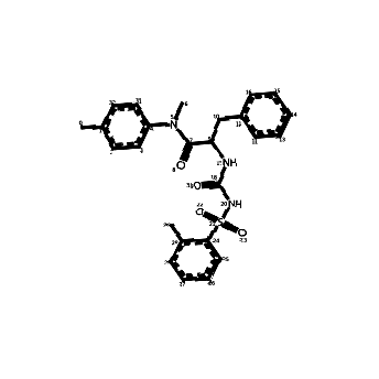 Cc1ccc(N(C)C(=O)C(Cc2ccccc2)NC(=O)NS(=O)(=O)c2ccccc2C)cc1